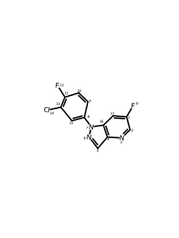 Fc1cnc2cnn(-c3ccc(F)c(Cl)c3)c2c1